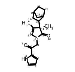 CC1=NN(CC(=O)c2ccc[nH]2)C(=O)[C@]1(C)C1CC2CCC1C2